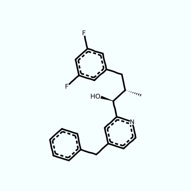 C[C@@H](Cc1cc(F)cc(F)c1)[C@H](O)c1cc(Cc2ccccc2)ccn1